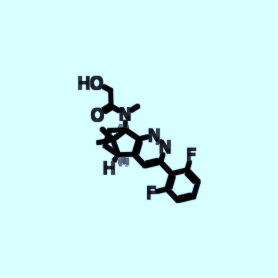 CN(C(=O)CO)[C@@]12CC[C@@H](c3cc(-c4c(F)cccc4F)nnc31)C2(C)C